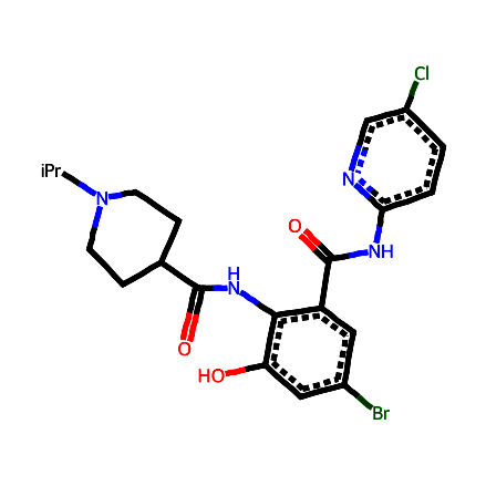 CC(C)N1CCC(C(=O)Nc2c(O)cc(Br)cc2C(=O)Nc2ccc(Cl)cn2)CC1